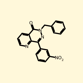 O=c1c2cccnc2c(-c2cccc([N+](=O)[O-])c2)nn1Cc1ccccc1